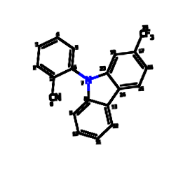 N#Cc1ccccc1-n1c2ccccc2c2ccc(C(F)(F)F)cc21